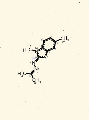 CC(C)=N/N=c1\sc2cc(C)ccc2n1C